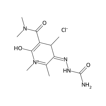 CC1=[N+](C)C(O)=C(C(=O)N(C)C)C(C)C1=NNC(N)=O.[Cl-]